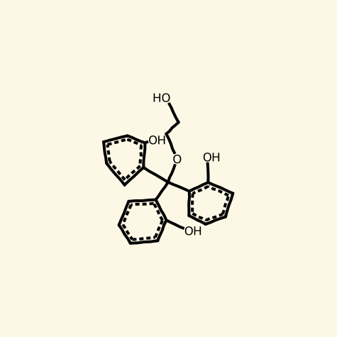 OCCOC(c1ccccc1O)(c1ccccc1O)c1ccccc1O